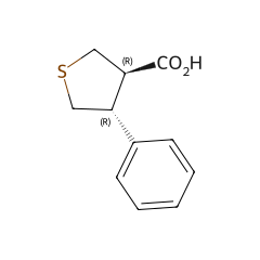 O=C(O)[C@@H]1CSC[C@H]1c1ccccc1